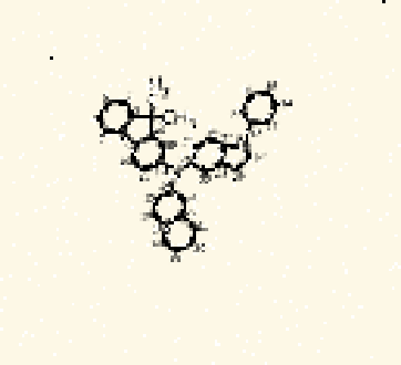 CC1(C)c2ccccc2-c2ccc(N(c3ccc4ccccc4c3)c3ccc4c(ccn4-c4ccccc4)c3)cc21